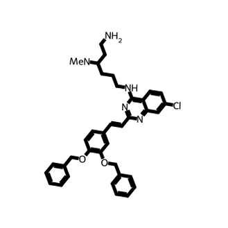 CNC(CCN)CCCNc1nc(C=Cc2ccc(OCc3ccccc3)c(OCc3ccccc3)c2)nc2cc(Cl)ccc12